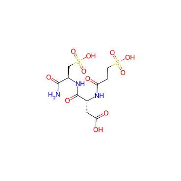 NC(=O)[C@@H](CS(=O)(=O)O)NC(=O)[C@@H](CC(=O)O)NC(=O)CCS(=O)(=O)O